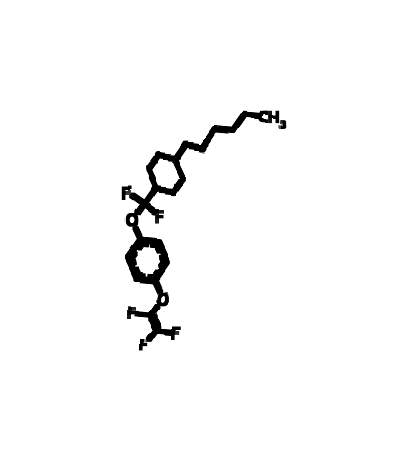 CCCCCCC1CCC(C(F)(F)Oc2ccc(OC(F)=C(F)F)cc2)CC1